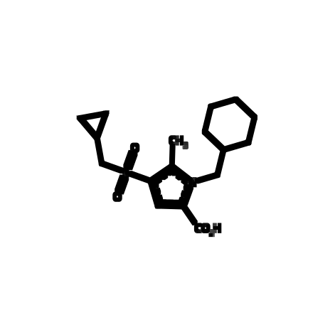 Cc1c(S(=O)(=O)CC2CC2)cc(C(=O)O)n1CC1CCCCC1